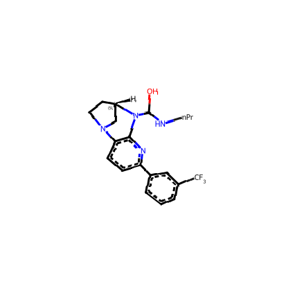 CCCNC(O)N1c2nc(-c3cccc(C(F)(F)F)c3)ccc2N2CC[C@H]1C2